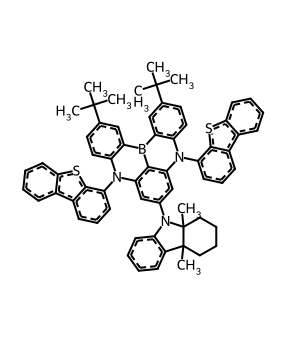 CC(C)(C)c1ccc2c(c1)B1c3cc(C(C)(C)C)ccc3N(c3cccc4c3sc3ccccc34)c3cc(N4c5ccccc5C5(C)CCCCC45C)cc(c31)N2c1cccc2c1sc1ccccc12